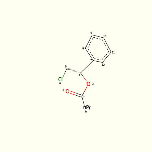 CCCC(=O)O[C@H](CCl)c1ccccc1